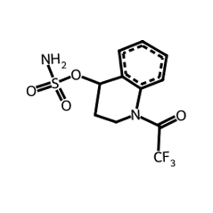 NS(=O)(=O)OC1CCN(C(=O)C(F)(F)F)c2ccccc21